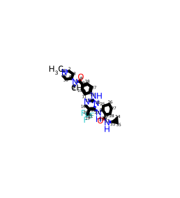 CN1CCC(N(C)C(=O)c2ccc(Nc3ncc(C(F)(F)F)c(N[C@@H]4CCCC[C@@H]4C(=O)NC4CC4)n3)cc2)CC1